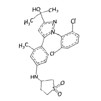 Cc1cc(NC2CCS(=O)(=O)C2)ccc1-c1cc(C(C)(C)O)nn1-c1c(Cl)cccc1Cl